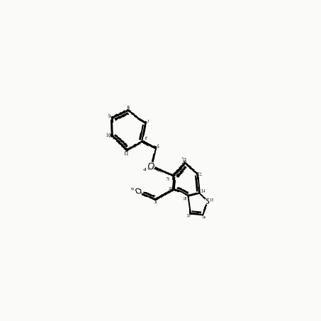 O=Cc1c(OCc2ccccc2)ccc2sccc12